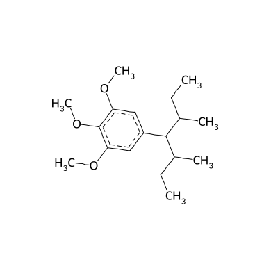 CCC(C)C(c1cc(OC)c(OC)c(OC)c1)C(C)CC